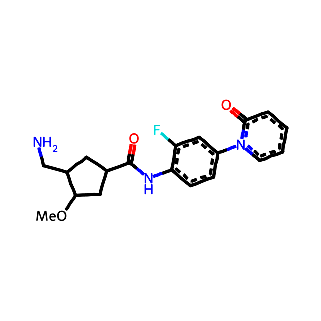 COC1CC(C(=O)Nc2ccc(-n3ccccc3=O)cc2F)CC1CN